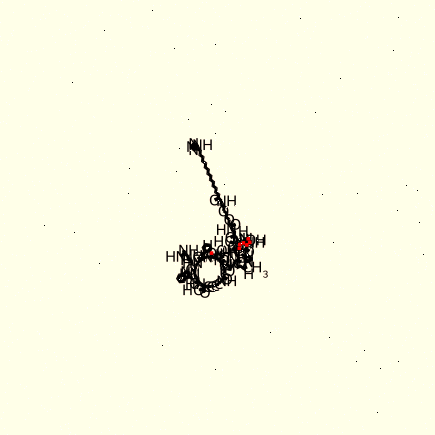 CCCC[C@H](NC(=O)[C@H](Cc1c[nH]cn1)NC(=O)[C@H](Cc1c[nH]cn1)NC(=O)[C@@H](CO)NC(=O)[C@H](CO)NC(=O)CNC(=O)COCCOCCNC(=O)CCCCCCCCCCCCCCCc1nnn[nH]1)C(=O)N[C@H]1CCC(=O)NCCCC[C@@H](C(=O)O)NC(=O)[C@H](Cc2c[nH]c3ccccc23)NC(=O)[C@H](CCCNC(=N)N)NC(=O)[C@@H](Cc2ccccc2)NC(=O)[C@@H]2C[C@@H](O)CN2C1=O